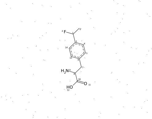 CC(F)c1ccc(CC(N)C(=O)O)cc1